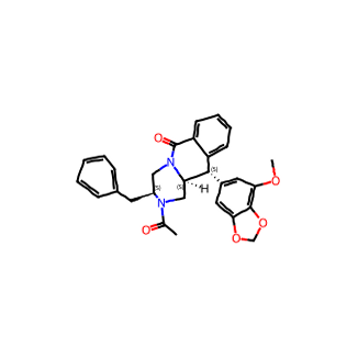 COc1cc([C@H]2c3ccccc3C(=O)N3C[C@H](Cc4ccccc4)N(C(C)=O)C[C@H]23)cc2c1OCO2